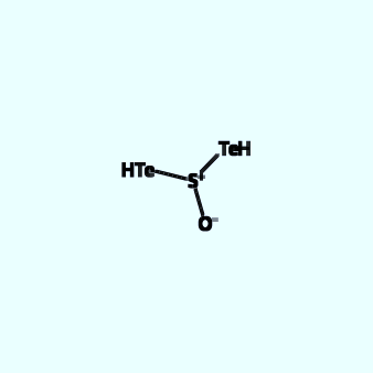 [O-][S+]([TeH])[TeH]